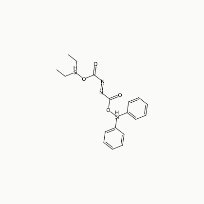 CC[SiH](CC)OC(=O)N=NC(=O)O[SiH](c1ccccc1)c1ccccc1